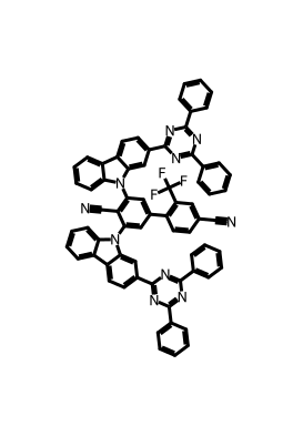 N#Cc1ccc(-c2cc(-n3c4ccccc4c4ccc(-c5nc(-c6ccccc6)nc(-c6ccccc6)n5)cc43)c(C#N)c(-n3c4ccccc4c4ccc(-c5nc(-c6ccccc6)nc(-c6ccccc6)n5)cc43)c2)c(C(F)(F)F)c1